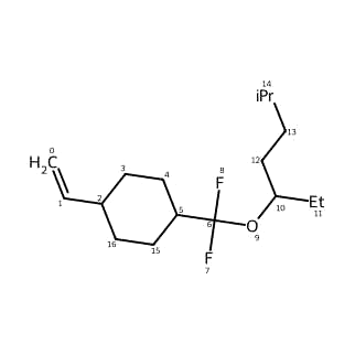 C=CC1CCC(C(F)(F)OC(CC)CCC(C)C)CC1